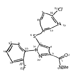 CNC(=O)c1cc(Sc2ccc(Cl)nc2)n(-c2ccccc2F)n1